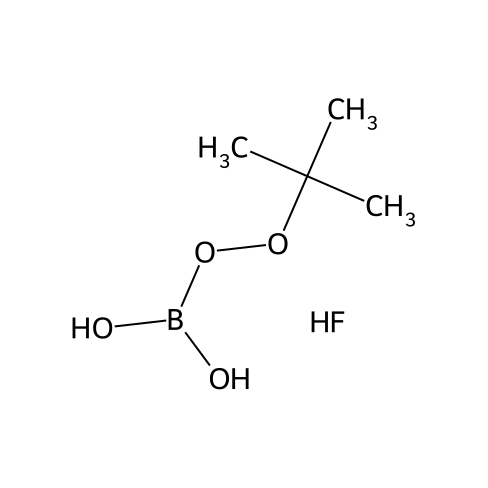 CC(C)(C)OOB(O)O.F